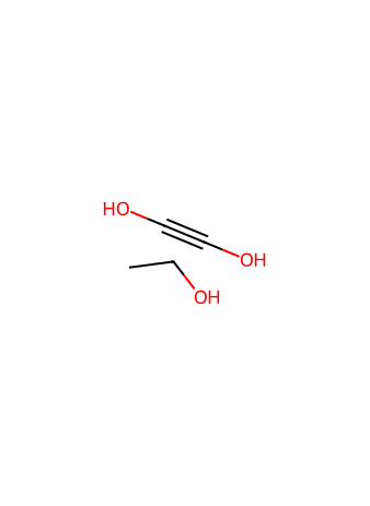 CCO.OC#CO